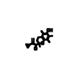 Cc1c(C)c2c(c(C)c1O)CCC(C)(C(=O)NC1CC1)O2